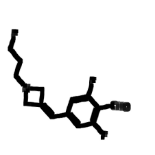 O=Cc1c(F)cc(C=C2CN(CCCF)C2)cc1F